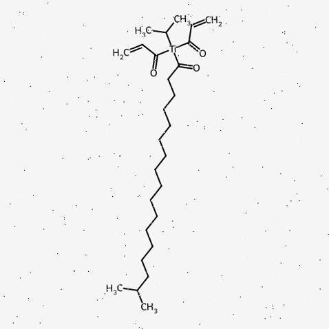 C=C[C](=O)[Ti]([C](=O)C=C)([C](=O)CCCCCCCCCCCCCCC(C)C)[CH](C)C